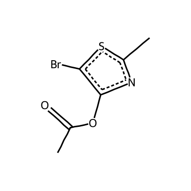 CC(=O)Oc1nc(C)sc1Br